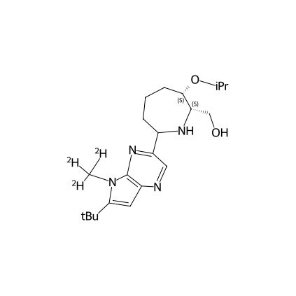 [2H]C([2H])([2H])n1c(C(C)(C)C)cc2ncc(C3CCC[C@H](OC(C)C)[C@H](CO)N3)nc21